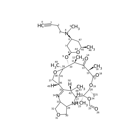 C#CCCN(C)[C@@H]1C[C@H](O[C@@H]2[C@@H](C)C(=O)[C@@H](C)C(=O)O[C@H](I)[C@@](C)(OC=O)[C@@H]3NC4COCC4N=C([C@@H]4CO[C@]2(C)C4)[C@@H]3C)O[C@H](C)C1